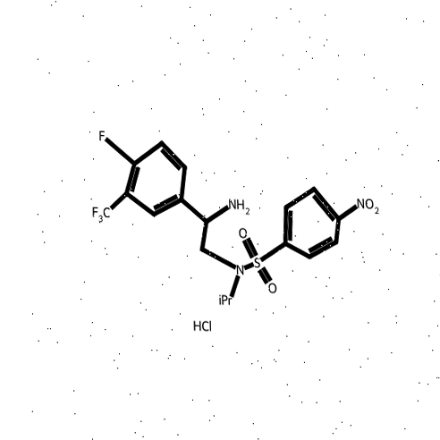 CC(C)N(CC(N)c1ccc(F)c(C(F)(F)F)c1)S(=O)(=O)c1ccc([N+](=O)[O-])cc1.Cl